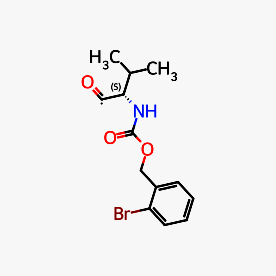 CC(C)[C@@H]([C]=O)NC(=O)OCc1ccccc1Br